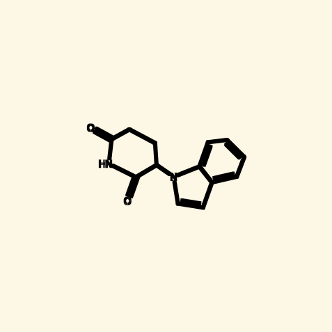 O=C1CCC(n2ccc3ccccc32)C(=O)N1